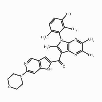 Cc1ccc(O)c(C)c1-n1c(N)c(C(=O)c2cc3cnc(N4CCOCC4)cc3[nH]2)c2nc(C)c(C)nc21